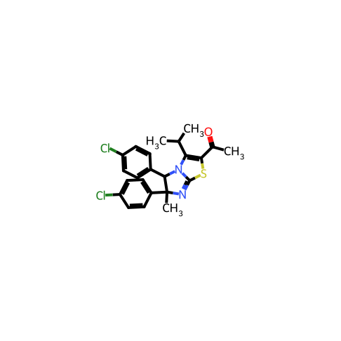 CC(=O)C1=C(C(C)C)N2C(=NC(C)(c3ccc(Cl)cc3)C2c2ccc(Cl)cc2)S1